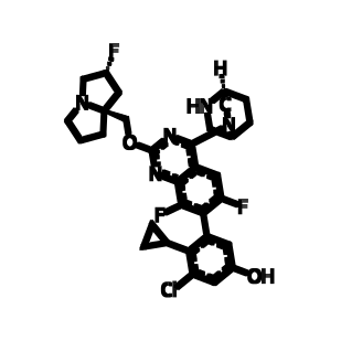 Oc1cc(Cl)c(C2CC2)c(-c2c(F)cc3c(N4C[C@@H]5CCC4CN5)nc(OC[C@@]45CCCN4C[C@H](F)C5)nc3c2F)c1